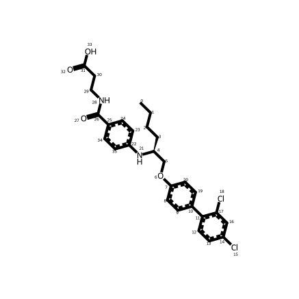 CCCC[C@@H](COc1ccc(-c2ccc(Cl)cc2Cl)cc1)Nc1ccc(C(=O)NCCC(=O)O)cc1